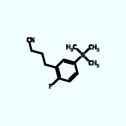 C[Si](C)(C)c1ccc(F)c(CCCC#N)c1